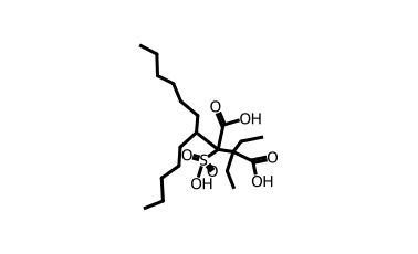 CCCCCCC(CCCCC)C(C(=O)O)(C(CC)(CC)C(=O)O)S(=O)(=O)O